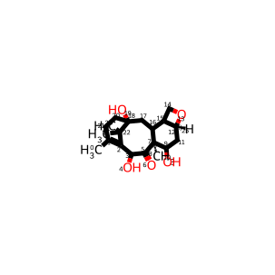 CC1=C2C(O)C(=O)[C@]3(C)C(O)C[C@H]4OCC4C3CC(O)(CC1)C2(C)C